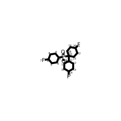 O=P(O)(C1CCC(F)CC1)C1(C2CCC(F)CC2)CCC(F)CC1